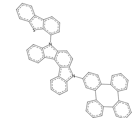 c1ccc2c(c1)-c1ccccc1-c1ccc(-n3c4ccccc4c4c5c6ccccc6n(-c6cccc7c6sc6ccccc67)c5ccc43)cc1-c1ccccc1-2